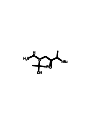 BBN(CC(=O)C(C)CCCC)C(C)(O)CCC